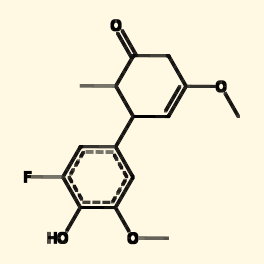 COC1=CC(c2cc(F)c(O)c(OC)c2)C(C)C(=O)C1